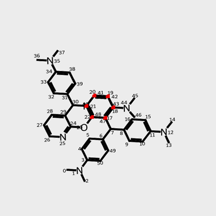 CN(C)c1ccc(C(c2ccc(N(C)C)cc2)c2cccnc2Oc2ncccc2C(c2ccc(N(C)C)cc2)c2ccc(N(C)C)cc2)cc1